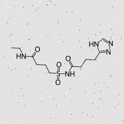 CCNC(=O)CCCS(=O)(=O)NC(=O)CCCc1nnc[nH]1